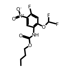 CCCCOC(=O)Nc1cc([N+](=O)[O-])c(F)cc1OC(F)F